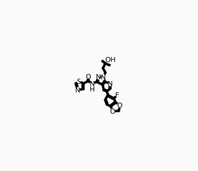 CC(C)(O)CCn1nc(NC(=O)c2cncs2)c2cc(-c3ccc4c(c3F)OCO4)cnc21